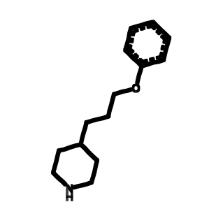 c1ccc(OCCCC2CCNCC2)cc1